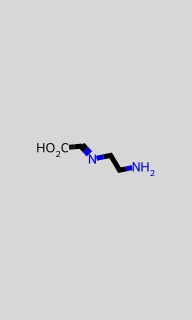 NCCN=CC(=O)O